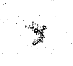 CCC(CC)Oc1cc(C)c(-c2cc(-c3cnc(NC(=O)NCCC4CCCN4C)s3)nc(-c3cnccn3)n2)c(C)c1